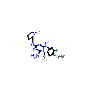 CCN1CCCC1CNC1=NC(N)N(CC(F)(F)F)C(Nc2ccc(OC)c(F)c2)=N1